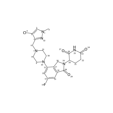 Cn1cc(Cl)c(CN2CCN(c3cc(F)cc4c3CN(C3CCC(=O)NC3=O)C4=O)CC2)n1